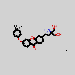 Cc1ccc(Oc2ccc3c(=O)c4ccc(CCC(N)(CO)CO)cc4oc3c2)cc1